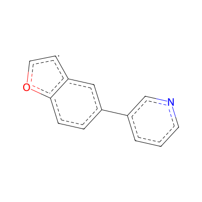 [c]1coc2ccc(-c3cccnc3)cc12